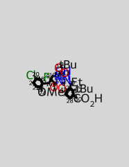 CCC(NC(=O)NC(=O)C(F)(CNC(=O)OC(C)(C)C)Cc1cc(Cl)ccc1OC)c1cccc(C(=O)O)c1C(C)(C)C